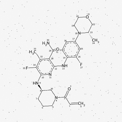 C=CC(=O)N1CCC[C@@H](Nc2nc(Nc3ccc(N4CCOC[C@@H]4C)cc3F)c(C(N)=O)c(C)c2F)C1